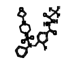 O=C(NNC(=O)C(F)(F)F)c1ccc(CN(c2ccccc2)S(=O)(=O)N2CCN(C3COC3)CC2)c(F)c1